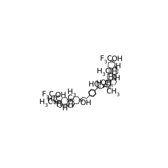 C[C@@H]([C@H]1CC[C@H]2[C@@H]3CC[C@H]4C[C@](O)(C(F)(F)F)CC[C@]4(C)[C@H]3CC[C@]12C)[C@@H](O)C[C@@H](O)c1ccc(CC[C@]2(O)CC[C@@]3(C)C(=CC[C@H]4[C@@H]5CC[C@H]([C@H](C)[C@H](O)C(F)(F)F)[C@@]5(C)CC[C@@H]43)C2)cc1